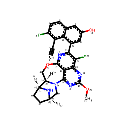 C#Cc1c(F)ccc2cc(O)cc(-c3nc4c5c(nc(OC)nc5c3F)N3C[C@H]5CC[C@H](N5)[C@H]3CO4)c12